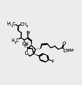 COC(=O)CCC/C=C\C[C@H]1[C@H](/C=C(/Br)[C@H](O)C(C)CC=C(C)C)[C@@H]2C[C@@]1(c1ccc(F)cc1)CO2